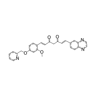 COc1cc(OCc2ccccn2)ccc1/C=C/C(=O)CC(=O)/C=C/c1ccc2nccnc2c1